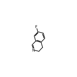 Fc1ccc2c(c1)C=NCC2